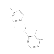 Cc1ccc(OCc2cccc(F)c2F)c(C(=O)O)n1